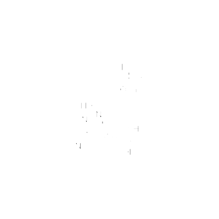 CC(CC(=O)O)CC(O)c1c(CCCCOCc2c(Cl)cccc2Cl)n(C)c2ncc(C#N)cc12